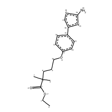 CCOC(=O)C(C)(C)CCCOc1ccc(-c2csc(N)n2)cc1